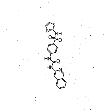 O=C(Nc1ccc(S(=O)(=O)Nc2nccs2)cc1)Nc1cc2ccccc2cn1